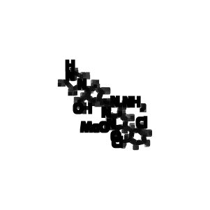 COn1c(=O)c(-c2c(Cl)cccc2Cl)cc2c(N)nc(-c3ccc(N4CCNCC4)c(CO)c3)nc21